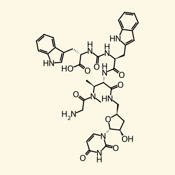 C[C@@H]([C@H](NC(=O)[C@H](Cc1cc2ccccc2[nH]1)NC(=O)N[C@@H](Cc1c[nH]c2ccccc12)C(=O)O)C(=O)NC[C@H]1C[C@@H](O)[C@H](n2ccc(=O)[nH]c2=O)O1)N(C)C(=O)CN